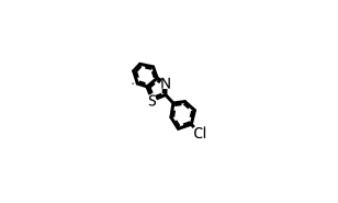 Clc1ccc(-c2nc3ccc[c]c3s2)cc1